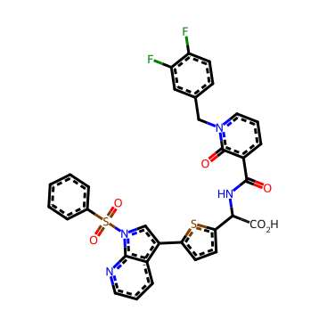 O=C(NC(C(=O)O)c1ccc(-c2cn(S(=O)(=O)c3ccccc3)c3ncccc23)s1)c1cccn(Cc2ccc(F)c(F)c2)c1=O